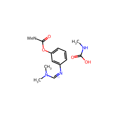 CNC(=O)O.CNC(=O)Oc1cccc(/N=C\N(C)C)c1